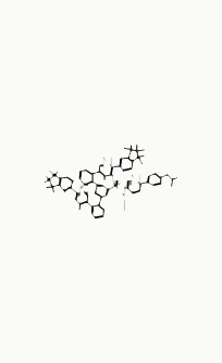 Cc1cc(-c2ccc3c(c2)C(C)(C)C(C)(C)C3(C)C)ncc1-c1ccccc1-c1cc(C(=O)Nc2ccc(-c3ccc(CC(C)C)cc3)nc2)cc(-c2ccccc2-c2cnc(-c3ccc4c(c3)C(C)(C)C(C)(C)C4(C)C)cc2C)c1